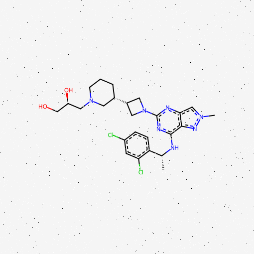 C[C@@H](Nc1nc(N2CC([C@H]3CCCN(C[C@H](O)CO)C3)C2)nc2cn(C)nc12)c1ccc(Cl)cc1Cl